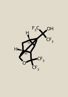 OC(C(F)(F)F)(C(F)(F)F)C12C3OC(C(F)(F)F)(C(F)(F)F)C4C1[C@@H]2C[C@@H]34